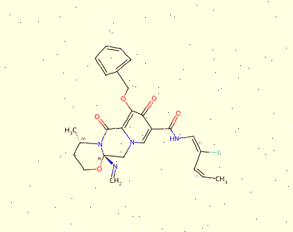 C=N[C@]12Cn3cc(C(=O)N/C=C(F)\C=C/C)c(=O)c(OCc4ccccc4)c3C(=O)N1[C@@H](C)CCO2